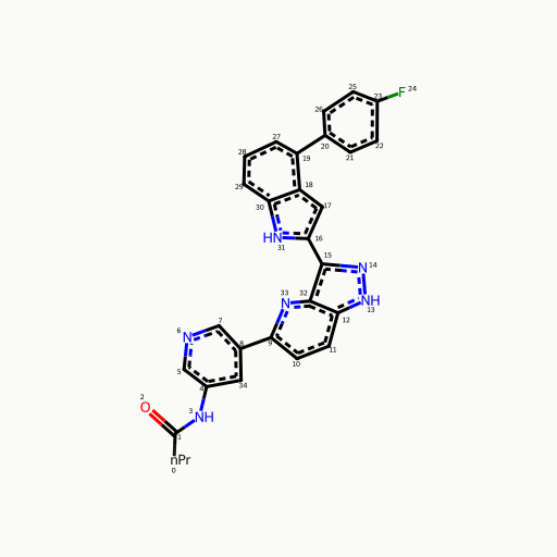 CCCC(=O)Nc1cncc(-c2ccc3[nH]nc(-c4cc5c(-c6ccc(F)cc6)cccc5[nH]4)c3n2)c1